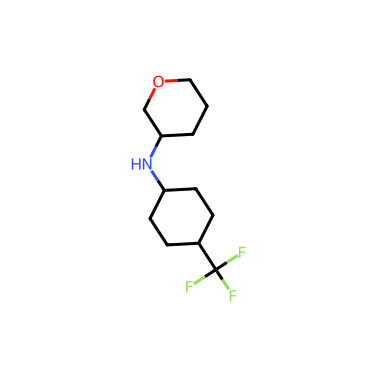 FC(F)(F)C1CCC(NC2CCCOC2)CC1